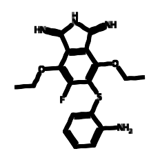 CCOc1c(F)c(Sc2ccccc2N)c(OCC)c2c1C(=N)NC2=N